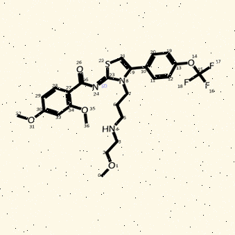 COCCNCCCn1c(-c2ccc(OC(F)(F)F)cc2)cs/c1=N\C(=O)c1ccc(OC)cc1OC